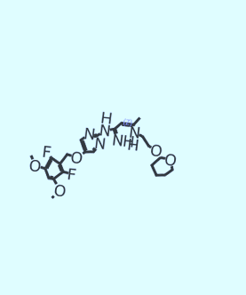 COc1cc(OC)c(F)c(COc2cnc(NC(=N)/C=C(/C)NCCOC3CCCCO3)nc2)c1F